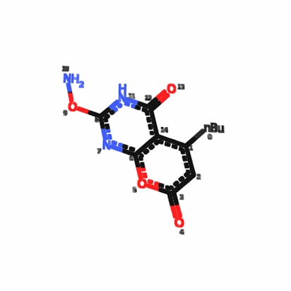 CCCCc1cc(=O)oc2nc(ON)[nH]c(=O)c12